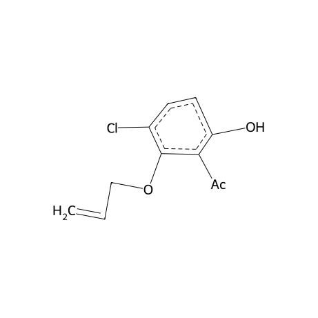 C=CCOc1c(Cl)ccc(O)c1C(C)=O